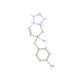 N#Cc1ccc(CC2(N)C=Cn3ncnc3C2)cc1